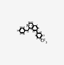 FC(F)(F)c1ccc(-c2ccc3c(c2)C(Cc2ccccc2)=NCC3)cc1